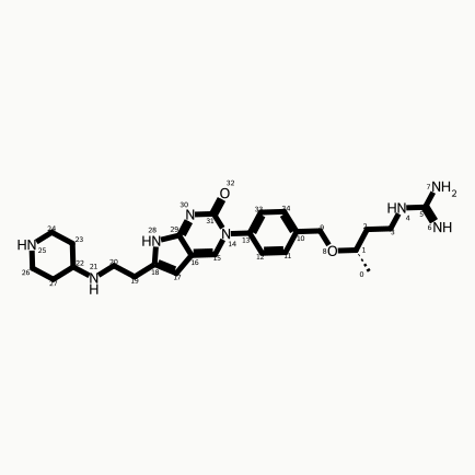 C[C@@H](CCNC(=N)N)OCc1ccc(-n2cc3cc(CCNC4CCNCC4)[nH]c3nc2=O)cc1